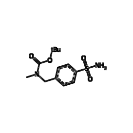 CN(Cc1ccc(S(N)(=O)=O)cc1)C(=O)OC(C)(C)C